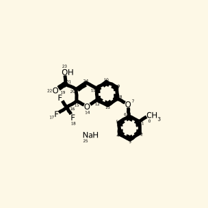 Cc1ccccc1Oc1ccc2c(c1)OC(C(F)(F)F)C(C(=O)O)=C2.[NaH]